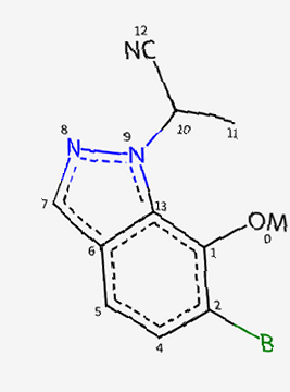 COc1c(Br)ccc2cnn(C(C)C#N)c12